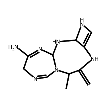 C=C1NC2=CNC2NC2N=C(N)CN=CN2C1C